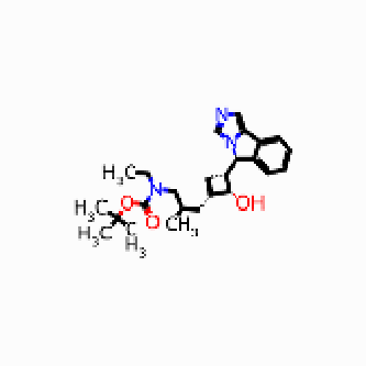 CCN(CC(C)C[C@@H]1C[C@H]([C@@H]2c3ccccc3-c3cncn32)[C@@H]1O)C(=O)OC(C)(C)C